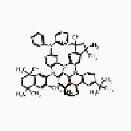 Cc1cc2c3c(c1)N(c1ccc(C(C)(C)C)cc1-c1ccccc1)c1cc4c(cc1B3c1cc(N(c3ccccc3)c3ccccc3)ccc1N2c1cc2c(cc1C)C(C)(C)CCC2(C)C)C(C)(C)CC4(C)C